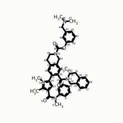 Cc1c(C(=O)N(C)c2ccccc2)cc(-c2cc3c(cc2C(=O)N2Cc4ccccc4C[C@H]2C)CN(C(=O)Oc2cccc(CN(C)C)c2)CC3)n1C